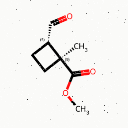 COC(=O)[C@@]1(C)CC[C@@H]1C=O